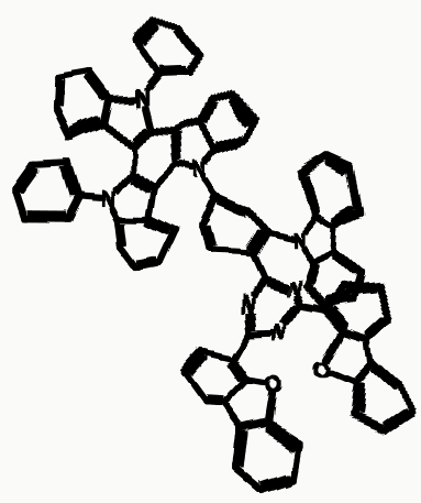 c1ccc(-n2c3ccccc3c3c2c2c4ccccc4n(-c4ccc(-c5nc(-c6cccc7c6oc6ccccc67)nc(-c6cccc7c6oc6ccccc67)n5)c(-n5c6ccccc6c6ccccc65)c4)c2c2c4ccccc4n(-c4ccccc4)c32)cc1